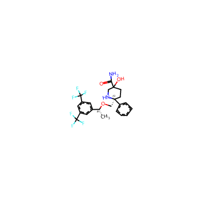 C[C@@H](OC[C@@]1(c2ccccc2)CCC(O)(C(N)=O)CN1)c1cc(C(F)(F)F)cc(C(F)(F)F)c1